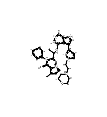 Cc1ccn2nc(C(C)Nc3ncnc4[nH]cc(-c5ccn(CCN6CCOCC6)n5)c34)n(-c3ccccc3)c(=O)c12